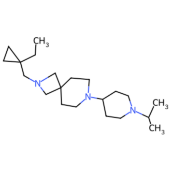 CCC1(CN2CC3(CCN(C4CCN(C(C)C)CC4)CC3)C2)CC1